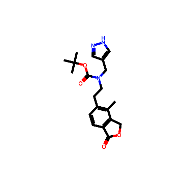 Cc1c(CCN(Cc2cn[nH]c2)C(=O)OC(C)(C)C)ccc2c1COC2=O